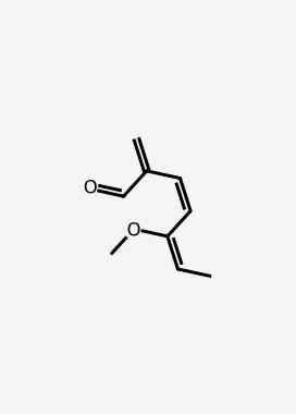 C=C(C=O)/C=C\C(=C/C)OC